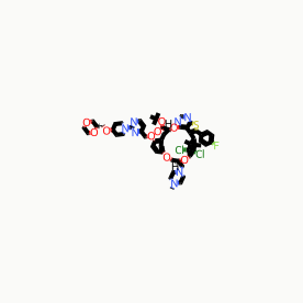 Cc1c(Cl)c2c(Cl)c(C)c1-c1c(-c3ccc(F)cc3)sc3ncnc(c13)O[C@@H](C(=O)OC(C)(C)C)Cc1cc(ccc1OCc1ccnc(N3CCC(OC[C@H]4COCCO4)CC3)n1)OC[C@@H](CN1CCN(C)CC1)O2